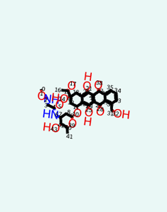 CONCC(=O)NC1CC(O[C@H]2C[C@](O)(C(C)=O)Cc3c(O)c4c(c(O)c32)C(=O)c2c(CO)cccc2C4=O)OC(C)C1O